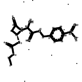 CCSC(=S)S[C@@H]1CC(=O)N1C(O)C(=O)OCc1ccc([N+](=O)[O-])cc1